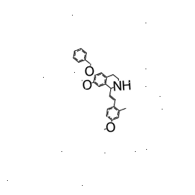 COc1ccc(/C=C/C2NCCc3cc(OCc4ccccc4)c(OC)cc32)c(C)c1